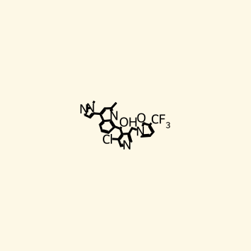 Cc1cc(-c2ccnn2C)c2cccc(C(O)c3c(Cl)cncc3Cn3cccc(C(F)(F)F)c3=O)c2n1